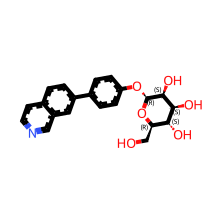 OC[C@H]1O[C@H](Oc2ccc(-c3ccc4ccncc4c3)cc2)[C@@H](O)[C@@H](O)[C@@H]1O